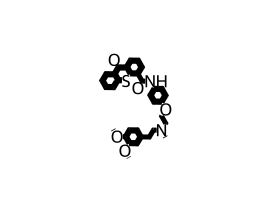 COc1ccc(CCN(C)CCOc2ccc(NC(=O)c3cccc4c(=O)c5ccccc5sc34)cc2)cc1OC